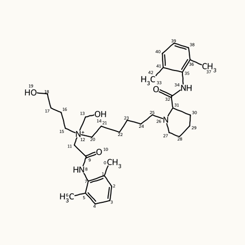 Cc1cccc(C)c1NC(=O)C[N+](CO)(CCCCO)CCCCCCN1CCCCC1C(=O)Nc1c(C)cccc1C